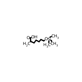 C=C(CCCCCO[Si](CC)(CC)CC)C(=O)O